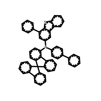 c1ccc(-c2ccc(N(c3cc(-c4ccccc4)c4sc5ccccc5c4c3)c3cccc4c3-c3ccccc3C43c4ccccc4-c4ccccc43)cc2)cc1